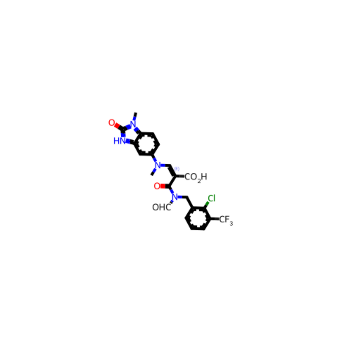 CN(/C=C(/C(=O)O)C(=O)N(C=O)Cc1cccc(C(F)(F)F)c1Cl)c1ccc2c(c1)[nH]c(=O)n2C